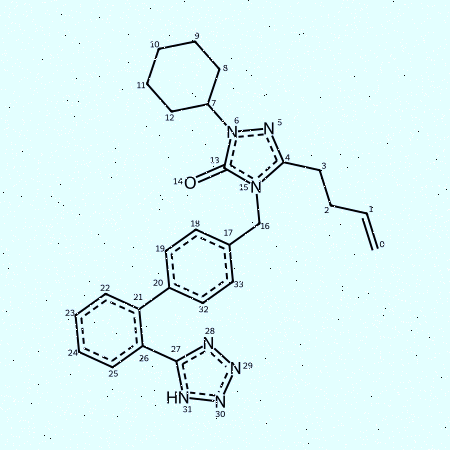 C=CCCc1nn(C2CCCCC2)c(=O)n1Cc1ccc(-c2ccccc2-c2nnn[nH]2)cc1